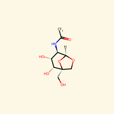 O=C(N[C@H]1[C@H]2OC[C@](CO)(O2)[C@H](O)[C@@H]1O)C(F)(F)F